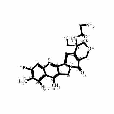 CC[C@@]1(OC(=O)CN)C(=O)OCc2c1cc1n(c2=O)Cc2c-1nc1cc(F)c(C)c(N)c1c2C